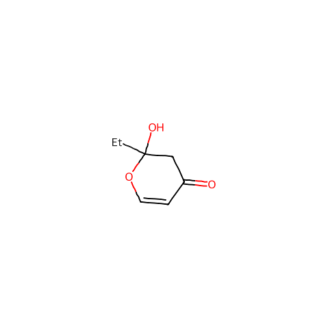 CCC1(O)CC(=O)C=CO1